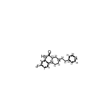 O=C1Nc2cc(F)ccc2N2CCN(CCc3ccncc3)CC12